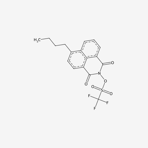 CCCCc1ccc2c3c(cccc13)C(=O)N(OS(=O)(=O)C(F)(F)F)C2=O